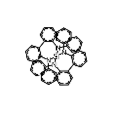 c1ccc(N2c3ccccc3-c3ccccc3N(c3ccccc3)[Si]23N(c2ccccc2)c2ccccc2-c2ccccc2N3c2ccccc2)cc1